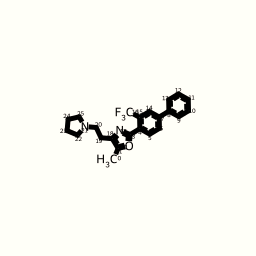 Cc1oc(-c2ccc(-c3ccccc3)cc2C(F)(F)F)nc1CCN1CCCC1